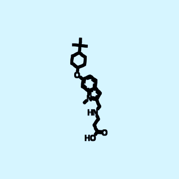 Cn1c(CNCCC(=O)O)cc2ccc(OC3CCC(C(C)(C)C)CC3)cc21